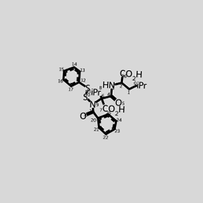 CC(C)CC(NC(=O)C(C(=O)O)(C(C)C)N(SSc1ccccc1)C(=O)c1ccccc1)C(=O)O